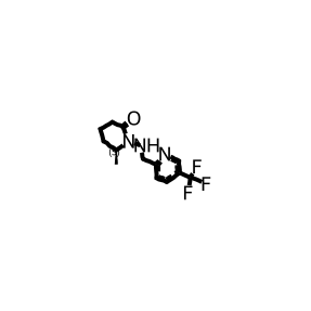 C[C@H]1CCCC(=O)N1NCc1ccc(C(F)(F)F)cn1